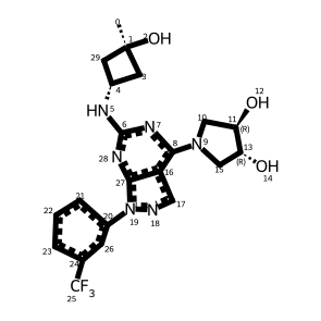 C[C@]1(O)C[C@H](Nc2nc(N3C[C@@H](O)[C@H](O)C3)c3cnn(-c4cccc(C(F)(F)F)c4)c3n2)C1